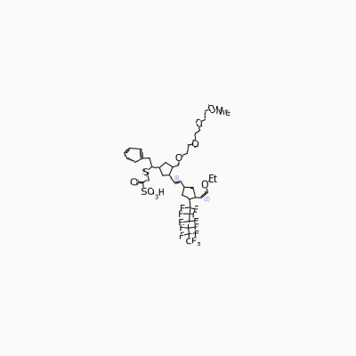 CCO/C=C\C1CC(/C=C/C2CC(C(Cc3ccccc3)SCC(=O)S(=O)(=O)O)CC2COCCOCCOCCOC)CC1C(F)(F)C(F)(F)C(F)(F)C(F)(F)C(F)(F)C(F)(F)F